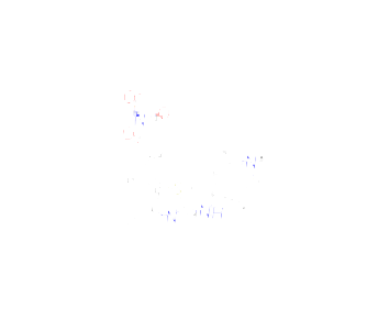 Cc1nc(Nc2ccncc2)sc1CCO[N+](=O)[O-]